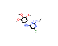 CCNc1nc(Cl)cc(Nc2cc(OC)c(OC)c(OC)c2)n1